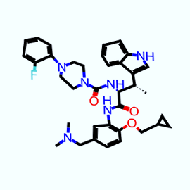 C[C@@H](c1c[nH]c2ccccc12)[C@@H](NC(=O)N1CCN(c2ccccc2F)CC1)C(=O)Nc1cc(CN(C)C)ccc1OCC1CC1